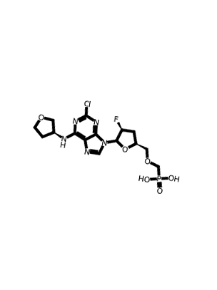 O=P(O)(O)COC[C@@H]1C[C@H](F)C(n2cnc3c(N[C@H]4CCOC4)nc(Cl)nc32)O1